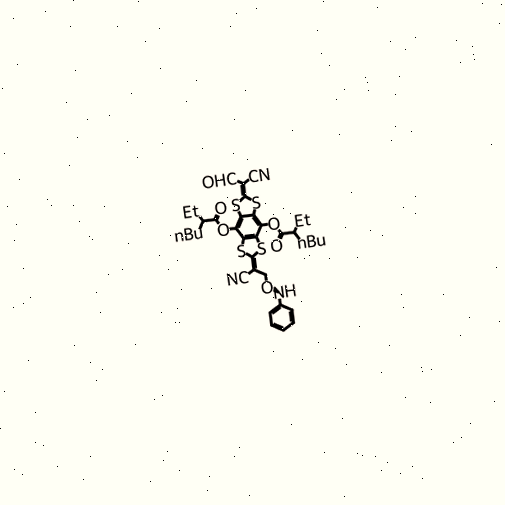 CCCCC(CC)C(=O)Oc1c2c(c(OC(=O)C(CC)CCCC)c3c1SC(=C(C#N)CONc1ccccc1)S3)SC(=C(C#N)C=O)S2